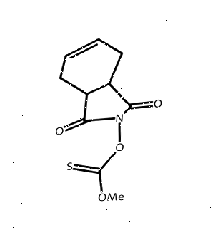 COC(=S)ON1C(=O)C2CC=CCC2C1=O